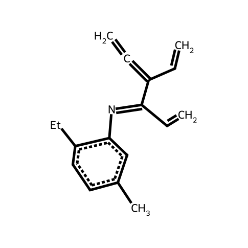 C=C=C(C=C)/C(C=C)=N/c1cc(C)ccc1CC